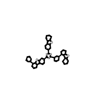 c1ccc(-c2cccc3c2oc2cc(-c4nc(-c5cccc(-c6cccc7oc8ccccc8c67)c5)nc(-c5ccc6c(c5)oc5ccccc56)n4)ccc23)cc1